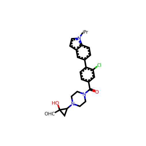 CC(C)n1ccc2cc(-c3ccc(C(=O)N4CCN(C5CC5(O)C=O)CC4)cc3Cl)ccc21